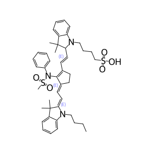 CCCCN1/C(=C/C=C2\CCC(/C=C/C3N(CCCCS(=O)(=O)O)c4ccccc4C3(C)C)=C2N(c2ccccc2)S(C)(=O)=O)C(C)(C)c2ccccc21